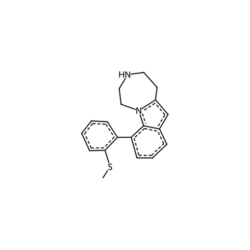 CSc1ccccc1-c1cccc2cc3n(c12)CCNCC3